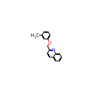 Cc1cccc(OCc2ccc3ccccc3n2)c1